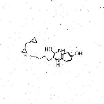 Oc1ccc2c(c1)NC(O)C(CCCCC[C@@H]1CC1CC1CC1)N2